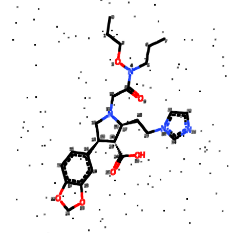 CCCON(CCC)C(=O)CN1C[C@H](c2ccc3c(c2)OCO3)[C@@H](C(=O)O)[C@@H]1CCn1ccnc1